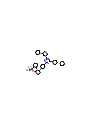 BC1(B)Oc2cccc(-c3ccc(-c4nc(-c5ccc(-c6ccccc6)cc5)nc(-c5cccc(-c6ccccc6)c5)n4)cc3)c2-c2ccccc21